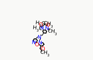 CCN1C(=O)C(C)(C)C(=O)N(C)c2cc(CCN(CCn3ccc4oc(C)cc4c3=O)Cc3ccncc3)ccc21